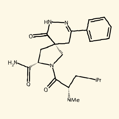 CN[C@@H](CC(C)C)C(=O)N1C[C@]2(CC(c3ccccc3)=NNC2=O)C[C@H]1C(N)=O